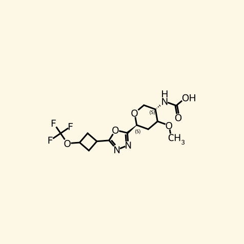 COC1C[C@@H](c2nnc(C3CC(OC(F)(F)F)C3)o2)OC[C@@H]1NC(=O)O